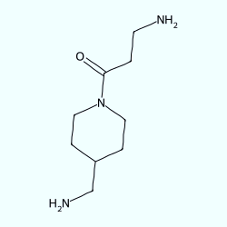 NCCC(=O)N1CCC(CN)CC1